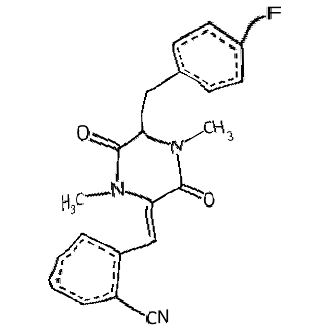 CN1C(=O)C(Cc2ccc(F)cc2)N(C)C(=O)C1=Cc1ccccc1C#N